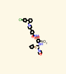 O=C(NS(=O)(=O)c1ccc(N[C@H](CCN2CCOCC2)CSc2ccccc2)c([N+](=O)[O-])c1)c1ccc(C2=CCN(CC3=C(c4ccc(Cl)cc4)CCCC3)CC2)cc1